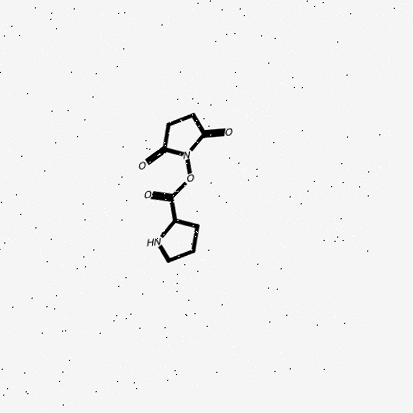 O=C(ON1C(=O)CCC1=O)C1CCCN1